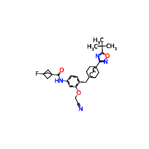 CC(C)(C)c1nc(C23CCC(Cc4ccc(NC(=O)C56CC(F)(C5)C6)cc4OCC#N)(CC2)CC3)no1